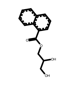 O=C(OCC(O)CO)c1cccc2ccccc12